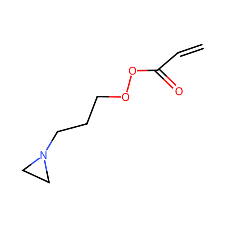 C=CC(=O)OOCCCN1CC1